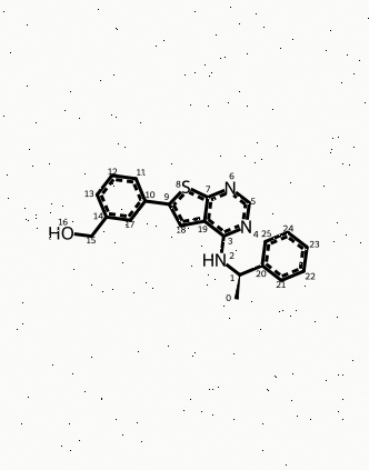 C[C@@H](Nc1ncnc2sc(-c3cccc(CO)c3)cc12)c1ccccc1